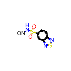 O=NNS(=O)(=O)c1ccc2nsnc2c1